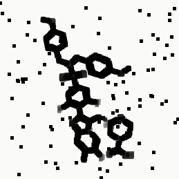 COc1ccc(CN(Cc2ccc(OC)cc2)S(=O)(=O)c2cc(F)c(-c3nc4cc(C)c(F)cn4c3C[C@H]3CN(C(=O)O)CCO3)c(F)c2)cc1